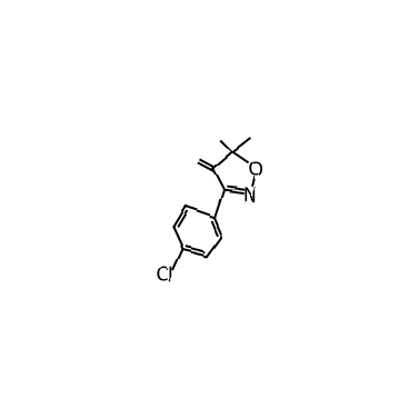 C=C1C(c2ccc(Cl)cc2)=NOC1(C)C